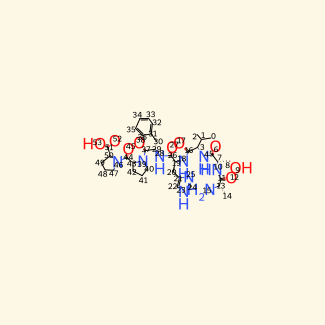 CC(C)[C@H](NC(=O)[C@H](CO)NC(=O)[C@H](C)N)C(=O)N[C@@H](Cc1c[nH]cn1)C(=O)N[C@@H](Cc1ccccc1)C(=O)N1CCC[C@H]1C(=O)N1CCC[C@H]1C(=O)O